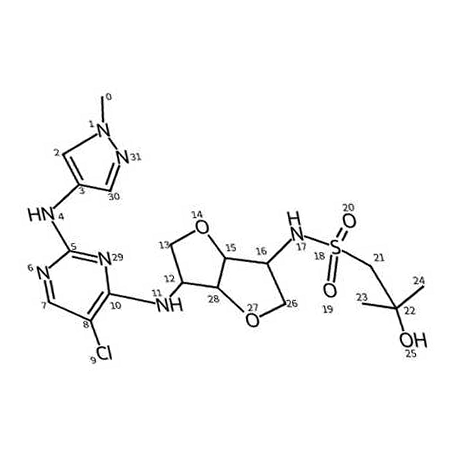 Cn1cc(Nc2ncc(Cl)c(NC3COC4C(NS(=O)(=O)CC(C)(C)O)COC34)n2)cn1